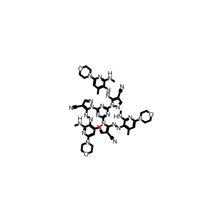 CNc1nc(N2CCOCC2)cc(C)c1/N=N/c1c(C#N)cnn1-c1nc(-n2ncc(C#N)c2/N=N/c2c(C)cc(N3CCOCC3)nc2NC)nc(-n2ncc(C#N)c2/N=N/c2c(C)cc(N3CCOCC3)nc2NC)n1